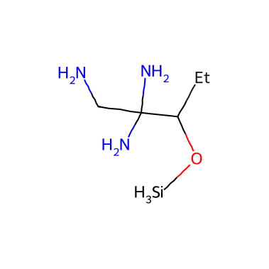 CCC(O[SiH3])C(N)(N)CN